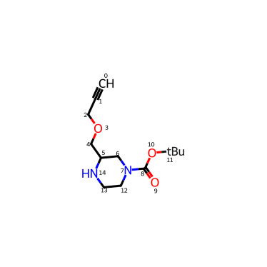 C#CCOCC1CN(C(=O)OC(C)(C)C)CCN1